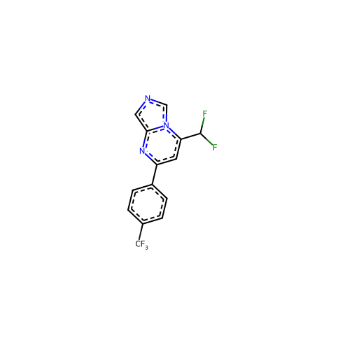 FC(F)c1cc(-c2ccc(C(F)(F)F)cc2)nc2cncn12